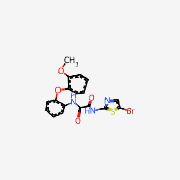 COc1ccccc1Oc1ccccc1NC(=O)C(=O)Nc1ncc(Br)s1